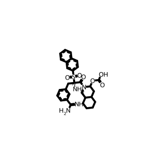 N=C(N)c1cccc(C[C@](N)(C(=O)N2CC3CCCCC3CC2OC(=O)O)S(=O)(=O)c2ccc3ccccc3c2)c1